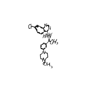 CC(=NNc1ncnc2cc(Cl)ccc12)c1cccc(N2CCN(C)CC2)c1